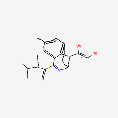 C=C(C1=NC2Cc3cc(C)cc1c3C2/C(O)=C/O)C(C)C(C)C